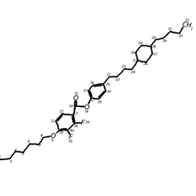 CCCCCCCCCOc1ccc(C(=O)Oc2ccc(CCCCC3CCC(CCCCC)CC3)cc2)c(F)c1F